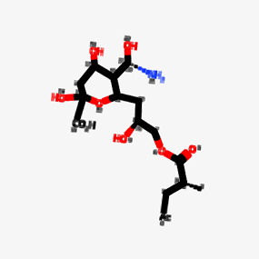 CC(=O)C[C@@H](C)C(=O)OC[C@@H](O)CC1OC(O)(C(=O)O)CC(O)C1[C@@H](N)O